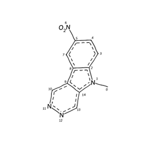 Cn1c2ccc([N+](=O)[O-])cc2c2cnncc21